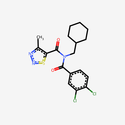 Cc1nnsc1C(=O)N(CC1CCCCC1)C(=O)c1ccc(Cl)c(Cl)c1